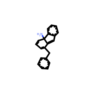 NC12C=CC=C(Cc3ccccc3)C1=Cc1ccccc12